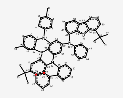 Cc1ccc(N2c3ccc(C)cc3B3c4cc(C(C)(C)C)ccc4N(c4ccccc4-c4ccccc4)c4cc(N(c5ccccc5)c5cccc6c5oc5c(C(C)(C)C)cccc56)cc2c43)cc1